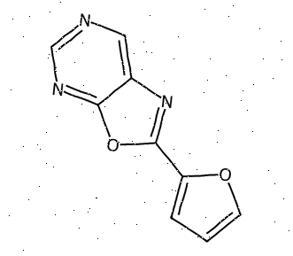 c1coc(-c2nc3cncnc3o2)c1